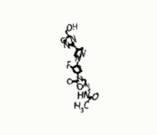 CC(=O)NC[C@H]1CN(c2ccc(-n3cc(-c4noc(CO)n4)cn3)c(F)c2)C(=O)O1